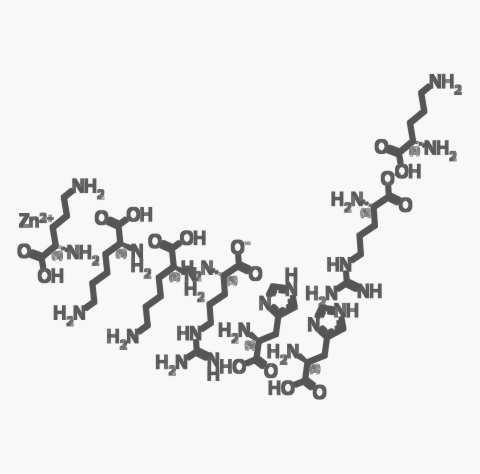 N=C(N)NCCC[C@H](N)C(=O)[O-].N=C(N)NCCC[C@H](N)C(=O)[O-].NCCCC[C@H](N)C(=O)O.NCCCC[C@H](N)C(=O)O.NCCC[C@H](N)C(=O)O.NCCC[C@H](N)C(=O)O.N[C@@H](Cc1c[nH]cn1)C(=O)O.N[C@@H](Cc1c[nH]cn1)C(=O)O.[Zn+2]